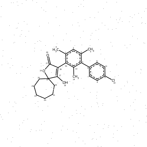 Cc1cc(C)c(-c2ccc(Cl)cc2)c(C)c1C1=C(O)C2(CCCCCC2)OC1=O